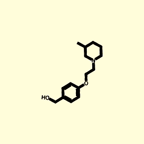 CC1CCCN(CCOc2ccc(CO)cc2)C1